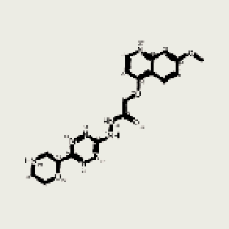 COc1ccc2c(OCC(=O)NNc3nnc(C4CNCCO4)nn3)ccnc2c1